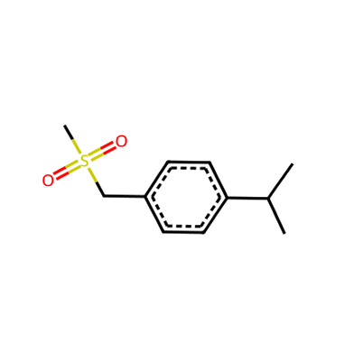 CC(C)c1ccc(CS(C)(=O)=O)cc1